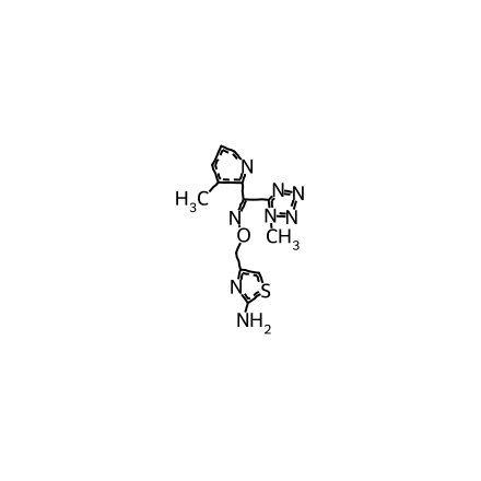 Cc1cccnc1C(=NOCc1csc(N)n1)c1nnnn1C